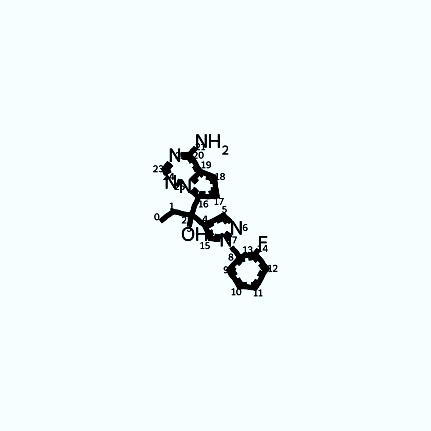 CCC(O)(c1cnn(-c2ccccc2F)c1)c1ccc2c(N)ncnn12